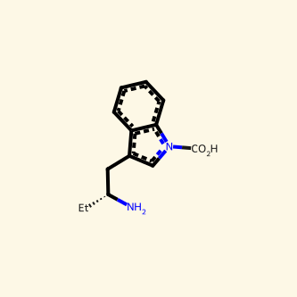 CC[C@@H](N)Cc1cn(C(=O)O)c2ccccc12